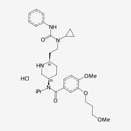 COCCCOc1cc(C(=O)N(C(C)C)[C@@H]2CC[C@H](CCN(C(=O)Nc3ccccc3)C3CC3)NC2)ccc1OC.Cl